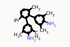 Cc1cc(-c2c(C)ccc(C(C)C)c2-c2cc(C)c(N)c(C)c2)cc(C)c1N